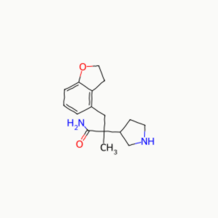 CC(Cc1cccc2c1CCO2)(C(N)=O)C1CCNC1